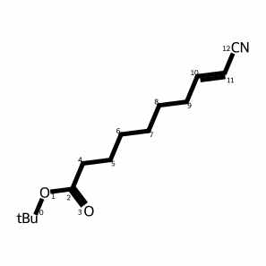 CC(C)(C)OC(=O)CCCCCCC=CC#N